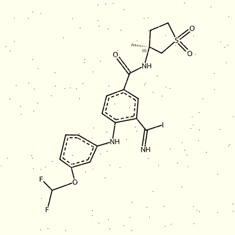 C[C@]1(NC(=O)c2ccc(Nc3cccc(OC(F)F)c3)c(C(=N)I)c2)CCS(=O)(=O)C1